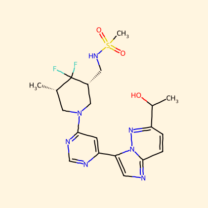 CC(O)c1ccc2ncc(-c3cc(N4C[C@@H](CNS(C)(=O)=O)C(F)(F)[C@@H](C)C4)ncn3)n2n1